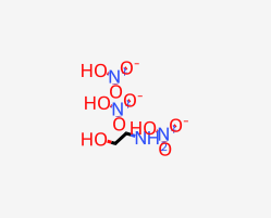 NCCO.O=[N+]([O-])O.O=[N+]([O-])O.O=[N+]([O-])O